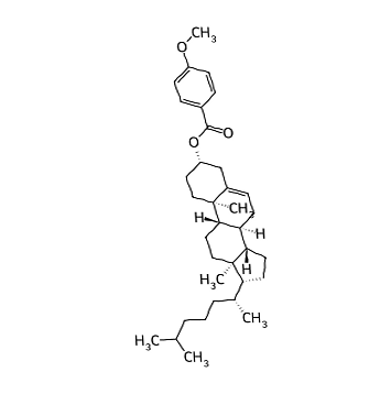 COc1ccc(C(=O)O[C@H]2CC[C@@]3(C)C(=CC[C@H]4[C@@H]5CC[C@H]([C@H](C)CCCC(C)C)[C@@]5(C)CC[C@@H]43)C2)cc1